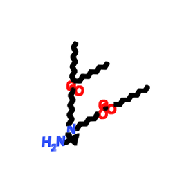 CCCCCCCCCOC(=O)OCCCCCCN(CCCCCCCC(=O)OC(CCCCCCCC)CCCCCCCC)CC1(CN)CC1